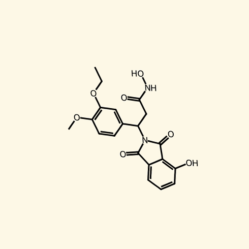 CCOc1cc(C(CC(=O)NO)N2C(=O)c3cccc(O)c3C2=O)ccc1OC